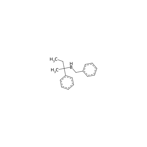 CCC(C)(BCc1ccccc1)c1ccccc1